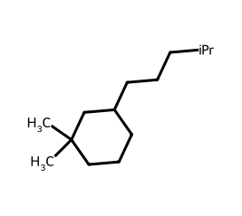 CC(C)CCCC1CCCC(C)(C)C1